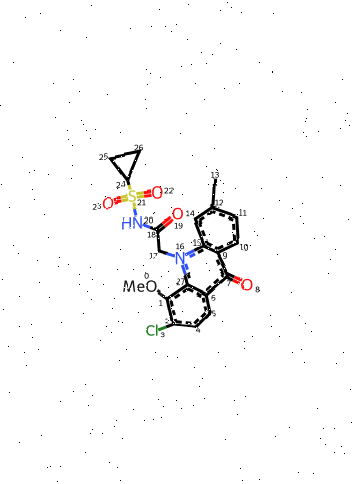 COc1c(Cl)ccc2c(=O)c3ccc(C)cc3n(CC(=O)NS(=O)(=O)C3CC3)c12